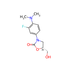 CN(C)c1ccc(N2C[C@H](CO)OC2=O)cc1F